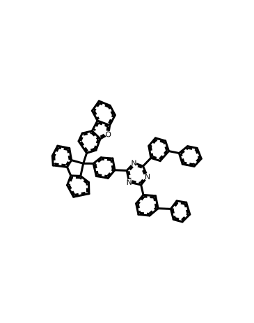 c1ccc(-c2cccc(-c3nc(-c4ccc(C5(c6ccc7c(c6)oc6ccccc67)c6ccccc6-c6ccccc65)cc4)nc(-c4cccc(-c5ccccc5)c4)n3)c2)cc1